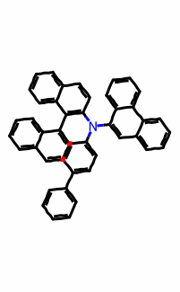 c1ccc(-c2ccc(N(c3ccc4ccccc4c3-c3cccc4ccccc34)c3cc4ccccc4c4ccccc34)cc2)cc1